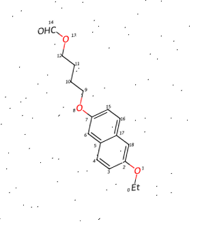 CCOc1ccc2cc(OCCCCOC=O)ccc2c1